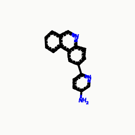 Nc1ccc(-c2ccc3ncc4ccccc4c3c2)nc1